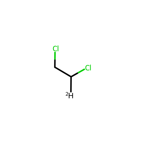 [2H]C(Cl)CCl